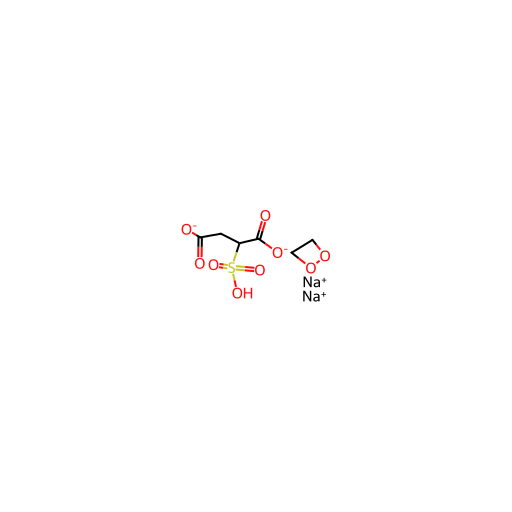 C1COO1.O=C([O-])CC(C(=O)[O-])S(=O)(=O)O.[Na+].[Na+]